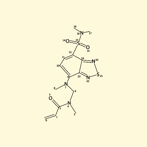 C=CC(=O)N(C)CN(C)c1ccc(S(=O)(=O)N(C)C)c2nsnc12